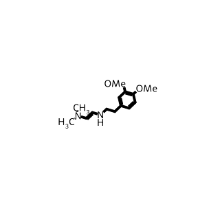 COc1ccc(CCNC=CN(C)C)cc1OC